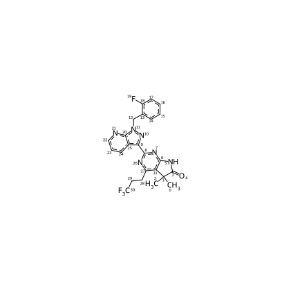 CC1(C)C(=O)Nc2nc(-c3nn(Cc4ccccc4F)c4ncccc34)nc(CCC(F)(F)F)c21